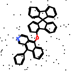 c1ccc(-c2c3ccccc3c(Oc3cccc4c3-c3ccccc3C43c4ccccc4-c4ccccc43)c3ccncc23)cc1